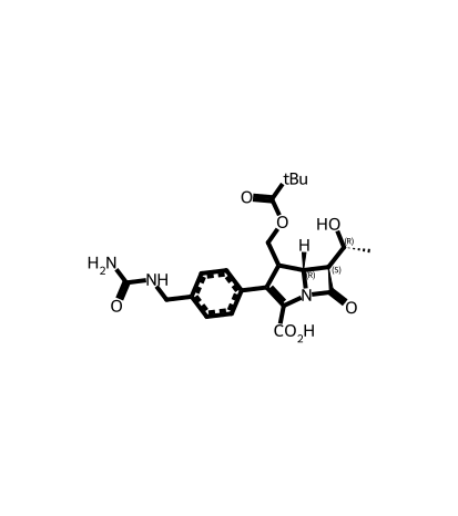 C[C@@H](O)[C@H]1C(=O)N2C(C(=O)O)=C(c3ccc(CNC(N)=O)cc3)C(COC(=O)C(C)(C)C)[C@H]12